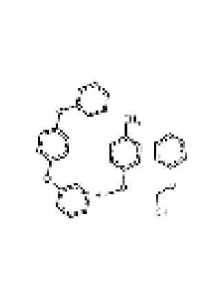 CCOc1ccccc1.COc1ccc(C)cc1.c1ccc(Oc2ccc(Oc3ccccc3)cc2)cc1